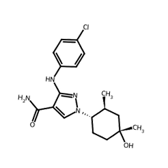 C[C@H]1C[C@](C)(O)CC[C@@H]1n1cc(C(N)=O)c(Nc2ccc(Cl)cc2)n1